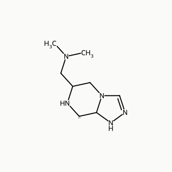 CN(C)CC1CN2C=NNC2[C]N1